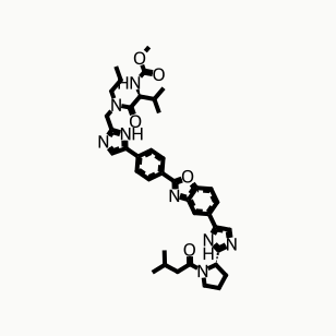 CCCN(Cc1ncc(-c2ccc(-c3nc4cc(-c5cnc([C@@H]6CCCN6C(=O)CC(C)C)[nH]5)ccc4o3)cc2)[nH]1)C(=O)[C@@H](NC(=O)OC)C(C)C